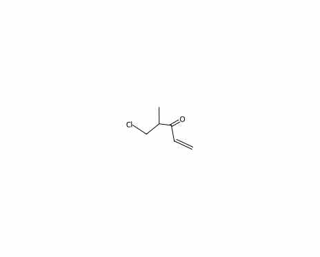 C=CC(=O)C(C)CCl